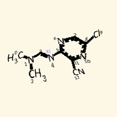 CN(C)/C=N/c1ncc(Cl)nc1C#N